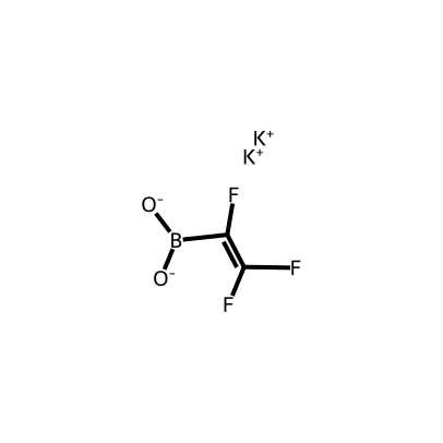 [K+].[K+].[O-]B([O-])C(F)=C(F)F